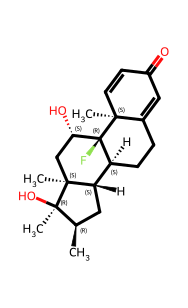 C[C@@H]1C[C@H]2[C@@H]3CCC4=CC(=O)C=C[C@]4(C)[C@@]3(F)[C@@H](O)C[C@]2(C)[C@]1(C)O